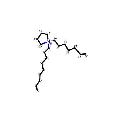 CCCCCCCCC[N+]1(CCCCCCC)CCCC1